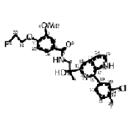 COc1cc(C(=O)NCC(C)(O)c2cc3cc[nH]c3c(-c3ccc(F)c(Cl)c3)n2)ccc1OCCF